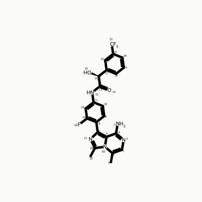 Cc1cnc(N)c2c(-c3ccc(NC(=O)[C@@H](O)c4cccc(C(F)(F)F)c4)cc3F)nc(C)n12